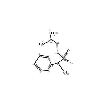 CC(c1ccccc1)S(=O)(=O)SCC(N)C(=O)O